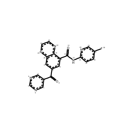 O=C(c1cncnc1)c1cc(C(=O)Nc2ccc(F)cn2)c2nccnc2c1